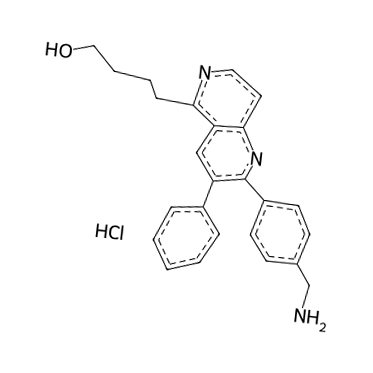 Cl.NCc1ccc(-c2nc3ccnc(CCCCO)c3cc2-c2ccccc2)cc1